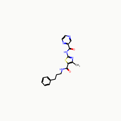 Cc1nc(NC(=O)c2cnccn2)sc1C(=O)NCCCc1ccccc1